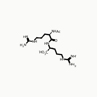 CC(=O)N[C@H](CCCNC(=N)N)C(=O)N[C@@H](CCCNC(=N)N)C(=O)O